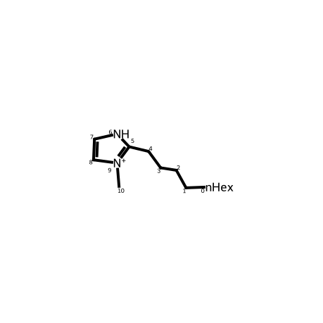 CCCCCCCCCCc1[nH]cc[n+]1C